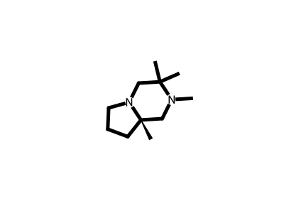 CN1C[C@]2(C)CCCN2CC1(C)C